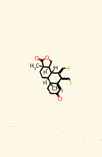 C[C@]12CCC(=O)C=C1C(=CF)C(=CF)[C@@H]1[C@@H]2CC[C@]2(C)C(=O)OC[C@@H]12